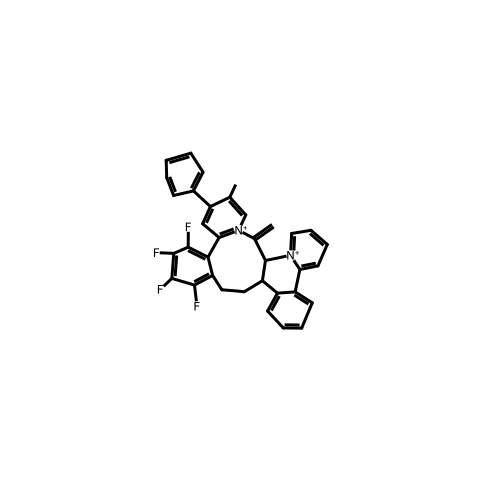 C=C1C2C(CCc3c(F)c(F)c(F)c(F)c3-c3cc(-c4ccccc4)c(C)c[n+]31)c1ccccc1-c1cccc[n+]12